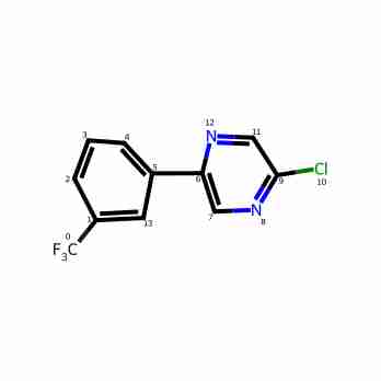 FC(F)(F)c1[c]ccc(-c2cnc(Cl)cn2)c1